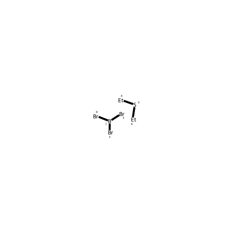 BrB(Br)Br.CCSCC